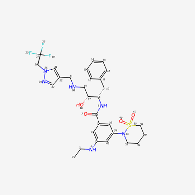 CCNc1cc(C(=O)N[C@@H](Cc2ccccc2)[C@H](O)CNCc2cnn(CC(F)(F)F)c2)cc(N2CCCCS2(=O)=O)c1